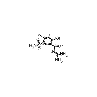 Cc1cc(Br)c(C(=O)N=C(N)N)cc1S(N)(=O)=O